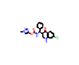 Cn1cc(OC(=O)NC(c2ccccc2)c2c[nH]c3cc(Cl)ccc3c2=O)nn1